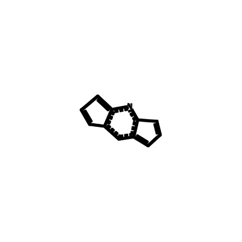 C1=Cc2nc3c(cc2=C1)C=CC=3